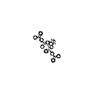 c1ccc(N(c2ccccc2)c2ccc(N(c3ccccc3)c3ccc4c5nccnc5c5ccc(N(c6ccccc6)c6ccc(N(c7ccccc7)c7ccccc7)cc6)nc5c4n3)cc2)cc1